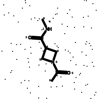 CNC(=O)C1CN(C(C)=O)C1